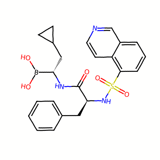 O=C(N[C@@H](CC1CC1)B(O)O)[C@H](Cc1ccccc1)NS(=O)(=O)c1cccc2cnccc12